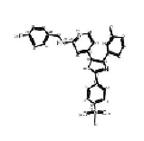 Cc1cccc(-c2nc(-c3ccc(S(C)(=O)=O)cc3)sc2-c2ccnc(NCc3ccc(F)cc3)c2)c1